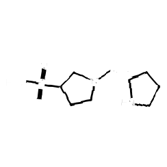 CS(=O)(=O)C1CCN(C[C@@H]2CCCN2)C1